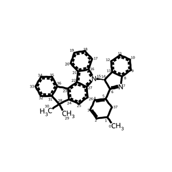 CC1C=CC=C(C2=Nc3ccccc3[C@@H]2n2c3ccccc3c3c4c(ccc32)C(C)(C)c2ccccc2-4)C1